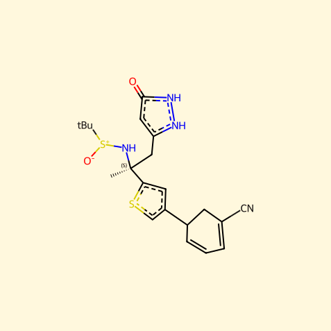 CC(C)(C)[S+]([O-])N[C@@](C)(Cc1cc(=O)[nH][nH]1)c1cc(C2C=CC=C(C#N)C2)cs1